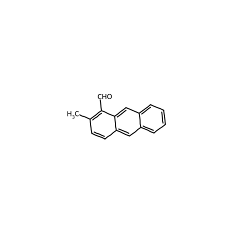 Cc1ccc2cc3ccccc3cc2c1C=O